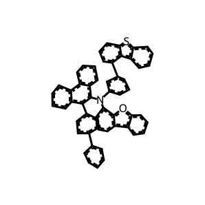 c1ccc(-c2ccc(-c3c(N(c4cccc(-c5cccc6sc7ccccc7c56)c4)c4cccc5c4oc4ccccc45)c4ccccc4c4ccccc34)cc2)cc1